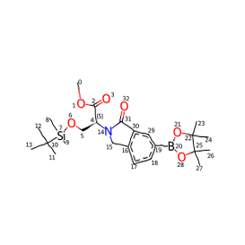 COC(=O)[C@H](CO[Si](C)(C)C(C)(C)C)N1Cc2ccc(B3OC(C)(C)C(C)(C)O3)cc2C1=O